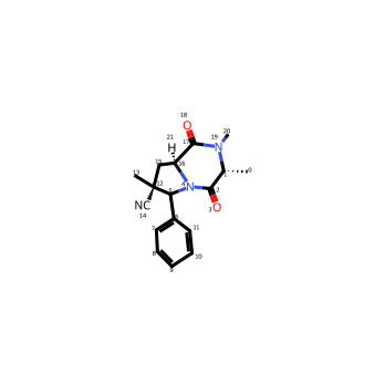 C[C@@H]1C(=O)N2C(c3ccccc3)[C@@](C)(C#N)C[C@H]2C(=O)N1C